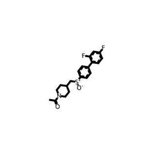 CC(=O)N1CCC(C[S+]([O-])c2ccc(-c3ccc(F)cc3F)cc2)CC1